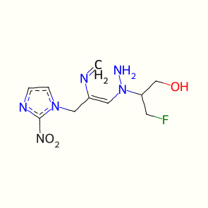 C=N/C(=C\N(N)C(CO)CF)Cn1ccnc1[N+](=O)[O-]